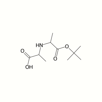 CC(NC(C)C(=O)OC(C)(C)C)C(=O)O